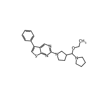 CCOC(C1CCN(c2ncc3c(-c4ccccc4)csc3n2)C1)N1CCCC1